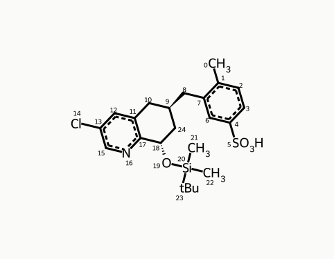 Cc1ccc(S(=O)(=O)O)cc1C[C@@H]1Cc2cc(Cl)cnc2[C@@H](O[Si](C)(C)C(C)(C)C)C1